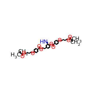 C=C(C)C(=O)OCCCCOc1ccc(C(=O)OCCc2ccc(OC(=O)c3ccc(OCCCCOC(=O)C(=C)C)cc3)c(C=N)c2)cc1